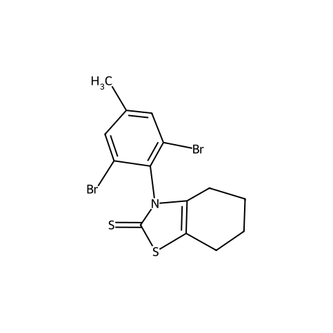 Cc1cc(Br)c(-n2c3c(sc2=S)CCCC3)c(Br)c1